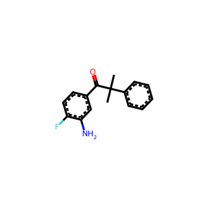 CC(C)(C(=O)c1ccc(F)c(N)c1)c1ccccc1